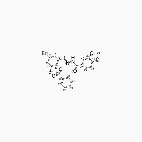 O=C(N/N=C/c1cc(Br)cc(Br)c1OC(=O)c1ccccc1)c1ccc2c(c1)OCO2